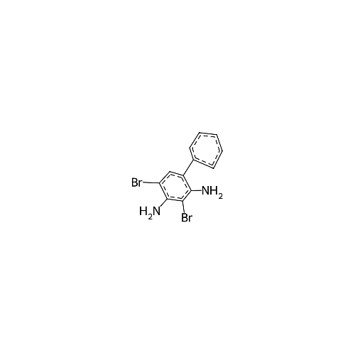 Nc1c(Br)cc(-c2ccccc2)c(N)c1Br